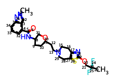 Cn1cc2c(C(=O)NC3CCC(CCN4CCc5nc(OCC(C)(F)F)sc5CC4)OC3)cccc2n1